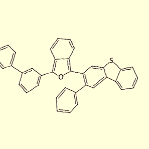 c1ccc(-c2cccc(-c3oc(-c4cc5sc6ccccc6c5cc4-c4ccccc4)c4ccccc34)c2)cc1